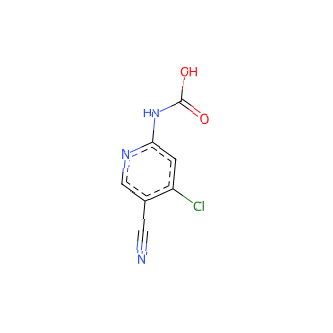 N#Cc1cnc(NC(=O)O)cc1Cl